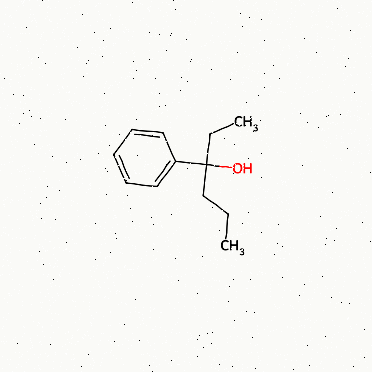 CCCC(O)(CC)c1ccccc1